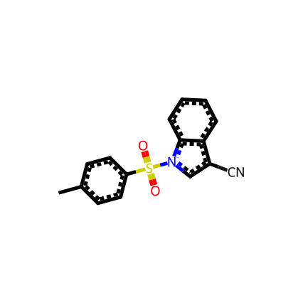 Cc1ccc(S(=O)(=O)n2cc(C#N)c3ccccc32)cc1